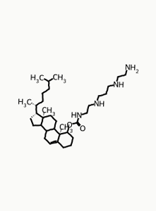 CC(C)CCC[C@@H](C)[C@H]1CCC2C3CC=C4CCCC(OC(=O)NCCNCCCNCCN)[C@]4(C)C3CC[C@@]21C